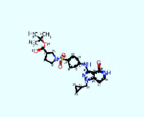 CC(C)(C)OC(=O)C1CCN(S(=O)(=O)c2ccc(Nc3nn(CC4CC4)c4cc[nH]c(=O)c34)cc2)C1